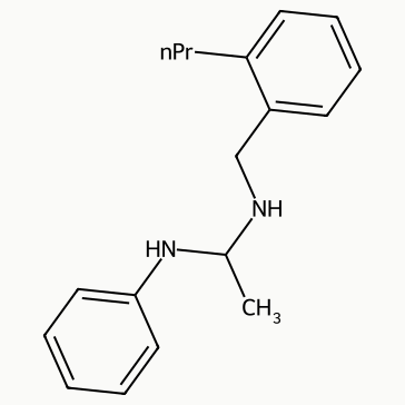 CCCc1ccccc1CNC(C)Nc1ccccc1